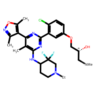 CCN1CCC(Nc2nc(-c3cc(OC[C@H](O)CNC)ccc3Cl)nc(-c3c(C)noc3C)c2C)C(F)(F)C1